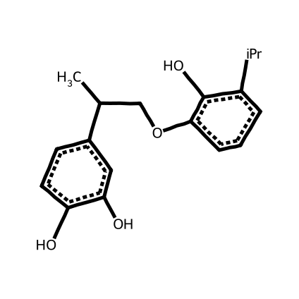 CC(C)c1cccc(OCC(C)c2ccc(O)c(O)c2)c1O